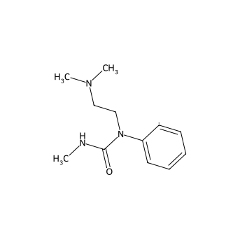 CNC(=O)N(CCN(C)C)c1[c]cccc1